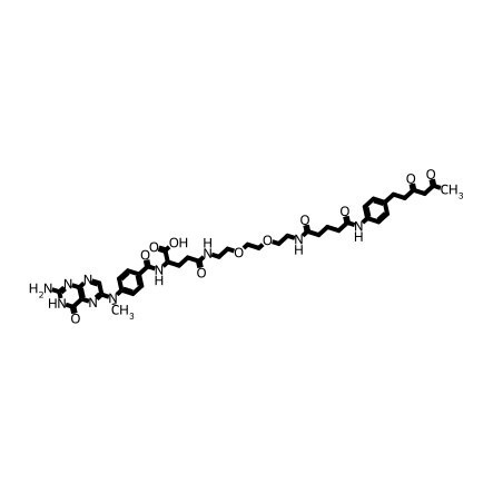 CC(=O)CC(=O)CCc1ccc(NC(=O)CCCC(=O)NCCOCCOCCNC(=O)CCC(NC(=O)c2ccc(N(C)c3cnc4nc(N)[nH]c(=O)c4n3)cc2)C(=O)O)cc1